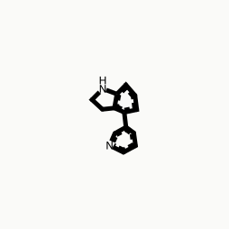 c1cncc(-c2cccc3c2CCN3)c1